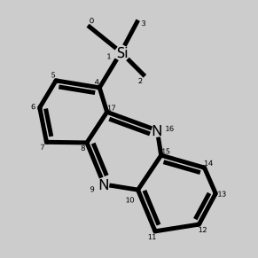 C[Si](C)(C)c1cccc2nc3ccccc3nc12